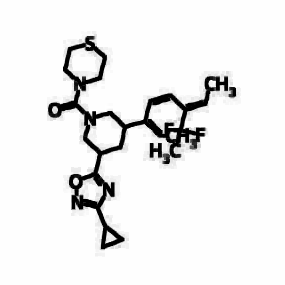 C\C=C(/C=C\C(=C/C)C(C)(F)F)C1CC(c2nc(C3CC3)no2)CN(C(=O)N2CCSCC2)C1